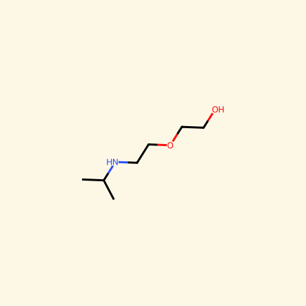 CC(C)NCCOCCO